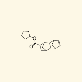 O=C(OC1CCCC1)C1CC2CC1C1C3C=CC(C3)C21